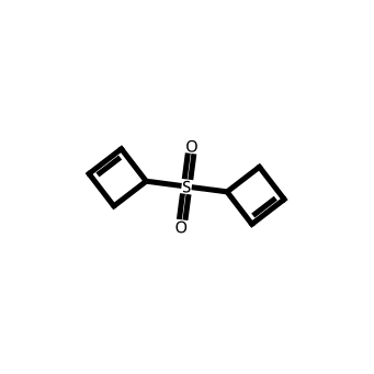 O=S(=O)(C1C=CC1)C1C=CC1